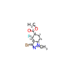 COC(=O)c1ccc2c(c(Br)nn2C)c1F